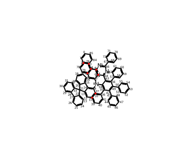 c1ccc(-c2ccc(N(c3cccc4c3-c3ccccc3C43c4ccccc4-c4ccccc43)c3c(-c4ccccc4)c(-c4ccccc4)c(-c4ccccc4)c(-c4ccccc4)c3-c3nc(-c4ccccc4)nc(-c4ccccc4)n3)cc2)cc1